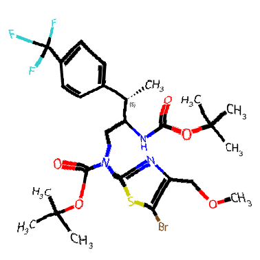 COCc1nc(N(CC(NC(=O)OC(C)(C)C)[C@@H](C)c2ccc(C(F)(F)F)cc2)C(=O)OC(C)(C)C)sc1Br